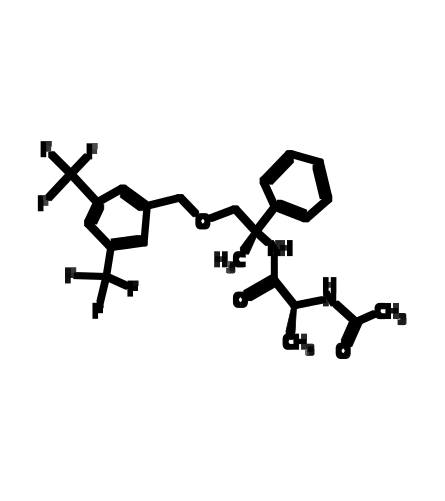 CC(=O)N[C@@H](C)C(=O)N[C@](C)(COCc1cc(C(F)(F)F)cc(C(F)(F)F)c1)c1ccccc1